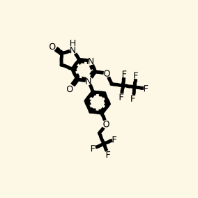 O=C1Cc2c(nc(OCC(F)(F)C(F)(F)F)n(-c3ccc(OCC(F)(F)F)cc3)c2=O)N1